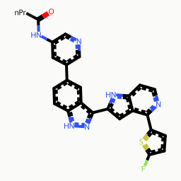 CCCC(=O)Nc1cncc(-c2ccc3[nH]nc(-c4cc5c(-c6ccc(F)s6)nccc5[nH]4)c3c2)c1